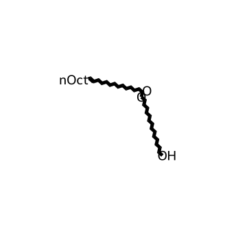 CCCCCCCCC=CCCCCCCCCCCCC(=O)OCCCCCCCCCCCCCCO